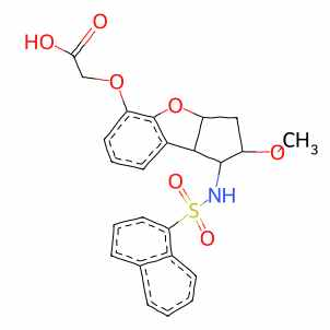 COC1CC2Oc3c(OCC(=O)O)cccc3C2C1NS(=O)(=O)c1cccc2ccccc12